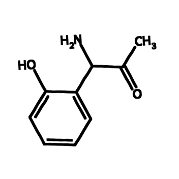 CC(=O)C(N)c1ccccc1O